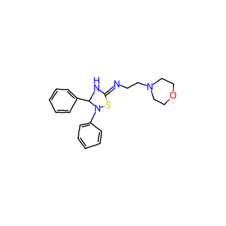 c1ccc(C2NC(=NCCN3CCOCC3)SN2c2ccccc2)cc1